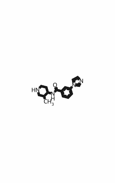 CC1CNCCC1NC(=O)c1cccc(-n2ccnc2)c1